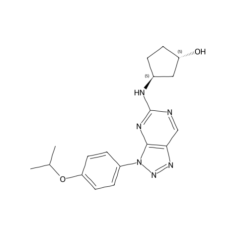 CC(C)Oc1ccc(-n2nnc3cnc(N[C@H]4CC[C@H](O)C4)nc32)cc1